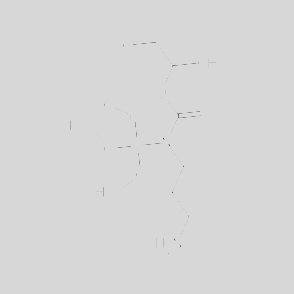 CCC(C)OC(=O)N(CCCN)[Si](OC)(OC)OC